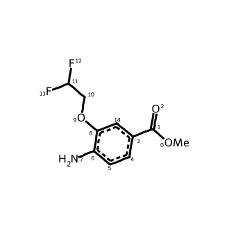 COC(=O)c1ccc(N)c(OCC(F)F)c1